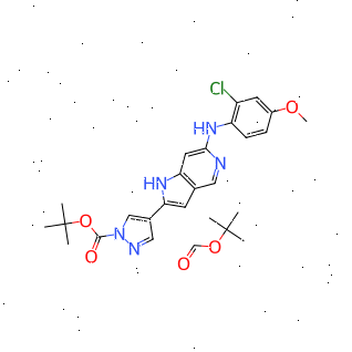 CC(C)(C)OC=O.COc1ccc(Nc2cc3[nH]c(-c4cnn(C(=O)OC(C)(C)C)c4)cc3cn2)c(Cl)c1